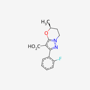 C[C@H]1CCn2nc(-c3ccccc3F)c(C(=O)O)c2O1